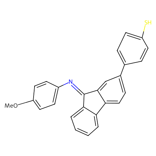 COc1ccc(/N=C2\c3ccccc3-c3ccc(-c4ccc(S)cc4)cc32)cc1